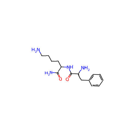 NCCCCC(NC(=O)C(N)Cc1ccccc1)C(N)=O